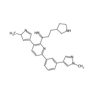 CC1C=C(c2ccc(-c3cccc(-c4cnn(C)c4)c3)nc2C(=N)CCC2CCNC2)C=N1